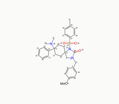 COc1ccc(CN2CC3(CCC(c4ccccc4)(N(C)C)CC3)N(S(=O)(=O)c3ccc(C)cc3)C2=O)cc1